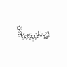 O=C(OCc1ccccc1)N1CCN(Cc2cc(Nc3ccc(NCCc4c[nH]c5ccccc45)cc3)ccn2)CC1